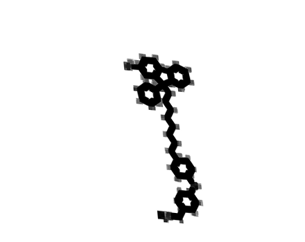 C=Cc1ccc(Oc2ccc(CCCCCCCCC3(c4ccccc4)c4ccccc4-c4ccc(Br)cc43)cc2)cc1